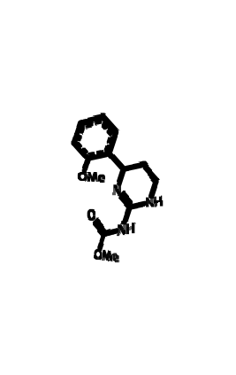 COC(=O)NC1=NC(c2ccccc2OC)CCN1